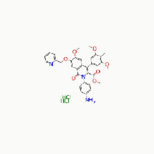 COC(=O)c1c(-c2cc(OC)c(C)c(OC)c2)c2cc(OC)c(OCc3ccccn3)cc2c(=O)n1-c1ccc(N)cc1.Cl.Cl